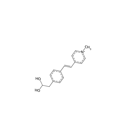 C[n+]1ccc(C=Cc2ccc(CC(O)O)cc2)cc1